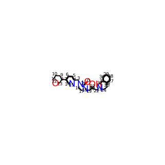 O=C1N(Cc2ccc(C3CCCOC3)cn2)CCN1C[C@H](O)CN1CCc2ccccc2C1